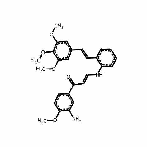 COc1ccc(C(=O)C=CNc2ccccc2C=Cc2cc(OC)c(OC)c(OC)c2)cc1N